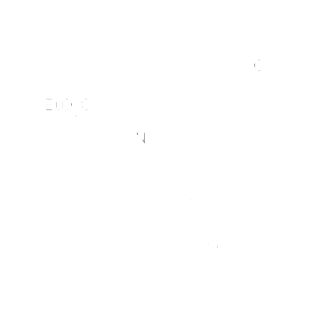 CCOC(=O)Cn1c2ccccc2c(=O)c2ccc(Cl)c(C)c21